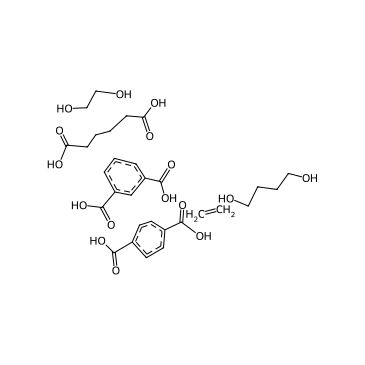 C=C.O=C(O)CCCCC(=O)O.O=C(O)c1ccc(C(=O)O)cc1.O=C(O)c1cccc(C(=O)O)c1.OCCCCO.OCCO